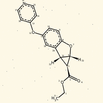 CCOC(=O)[C@@H]1[C@H]2Oc3ccc(Oc4ccncc4)cc3[C@H]21